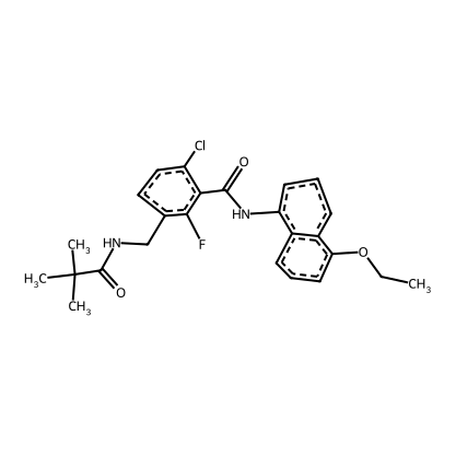 CCOc1cccc2c(NC(=O)c3c(Cl)ccc(CNC(=O)C(C)(C)C)c3F)cccc12